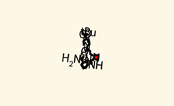 CC(C)(C)OC(=O)N1CCN(C(=O)CCN2CC3CC2(c2nc4c(C(N)=O)cccc4[nH]2)C3)CC1